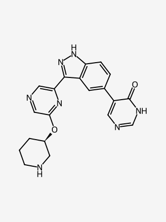 O=c1[nH]cncc1-c1ccc2[nH]nc(-c3cncc(O[C@@H]4CCCNC4)n3)c2c1